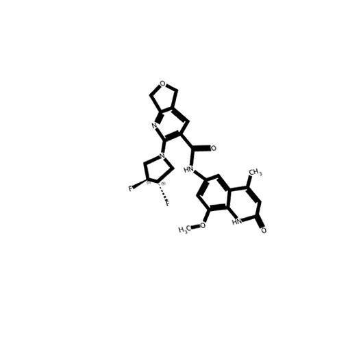 COc1cc(NC(=O)c2cc3c(nc2N2C[C@H](F)[C@@H](F)C2)COC3)cc2c(C)cc(=O)[nH]c12